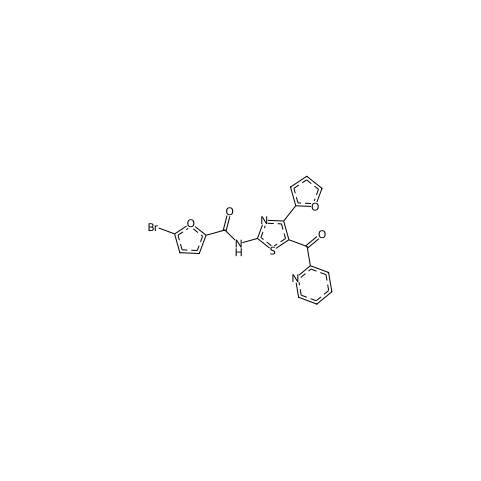 O=C(Nc1nc(-c2ccco2)c(C(=O)c2ccccn2)s1)c1ccc(Br)o1